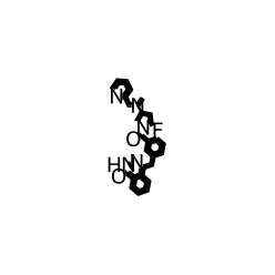 CN(Cc1ccccn1)[C@H]1CCN(C(=O)c2cc(Cc3n[nH]c(=O)c4ccccc34)ccc2F)C1